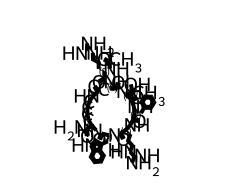 CC(=O)N[C@@H](CCCNC(=N)N)C(=O)N[C@H]1CC(=O)NCCCCC(C(N)=O)NC(=O)[C@H](Cc2c[nH]c3ccccc23)NC(=O)[C@H](CCCNC(=N)N)NC(=O)[C@@H](Cc2ccccc2)NC(=O)[C@@H]([C@@H](C)O)NC1=O